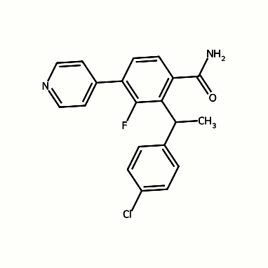 CC(c1ccc(Cl)cc1)c1c(C(N)=O)ccc(-c2ccncc2)c1F